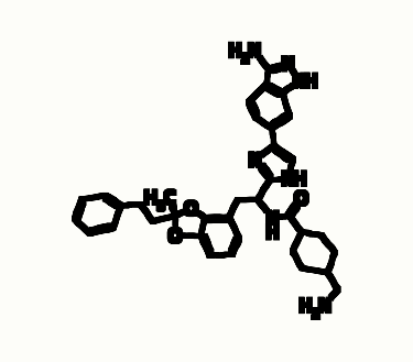 C[C@]1(CCc2ccccc2)Oc2cccc(CC(NC(=O)C3CCC(CN)CC3)c3nc(-c4ccc5c(N)n[nH]c5c4)c[nH]3)c2O1